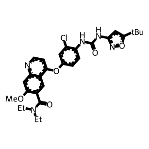 CCN(CC)C(=O)c1cc2c(Oc3ccc(NC(=O)Nc4cc(C(C)(C)C)on4)c(Cl)c3)ccnc2cc1OC